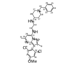 COc1cc(Cl)c(-c2c(C)nn3c(NCCNC4CCN(Cc5ccccc5)CC4)cc(C)nc23)c(Cl)c1